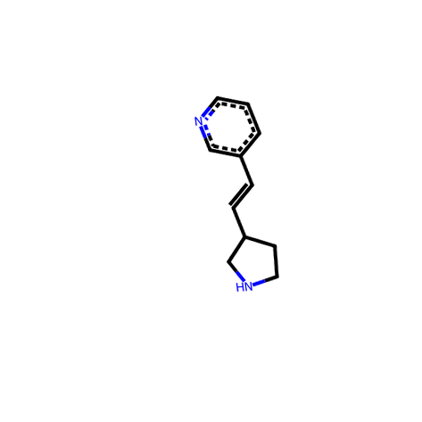 C(=CC1CCNC1)c1cccnc1